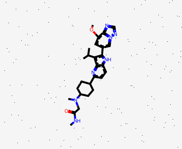 CNC(=O)CN(C)C1CCC(c2ccc3[nH]c(-c4cc(OC)c5ncnn5c4)c(C(C)C)c3n2)CC1